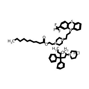 CCC(=O)C(CC(C)N1CCCCC1)(c1ccccc1)c1ccccc1.CCCCCCCCCC(=O)OCCN1CCN(CCCN2c3ccccc3Sc3ccc(C(F)(F)F)cc32)CC1.Cl